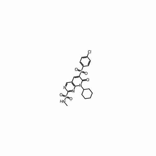 CNS(=O)(=O)c1ncc2cc(S(=O)(=O)c3ccc(Cl)cc3)c(=O)n(C3CCCCC3)c2n1